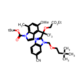 CCOC(=O)COC(c1c(OC)cc(C)c2c1ccn2C(=O)OC(C)(C)C)(c1nc2ccc(C#N)cc2n1COCC[Si](C)(C)C)C(F)(F)F